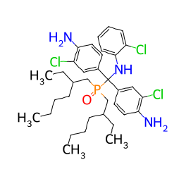 CCCCC(CC)CP(=O)(CC(CC)CCCC)C(Nc1ccccc1Cl)(c1ccc(N)c(Cl)c1)c1ccc(N)c(Cl)c1